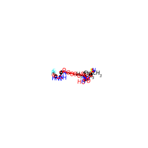 Cc1ncsc1-c1ccc(CNC(=O)[C@@H]2C[C@@H](O)CN2C(=O)[C@@H](NC(=O)CCOCCOCCOCCOCCNC(=O)c2cccc(-c3cc(Nc4ccc(OC(F)(F)F)cc4)ncn3)c2)C(C)(C)C)cc1